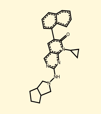 O=c1c(-c2cccc3ccccc23)cc2cnc(NN3CC4CCCC4C3)nc2n1C1CC1